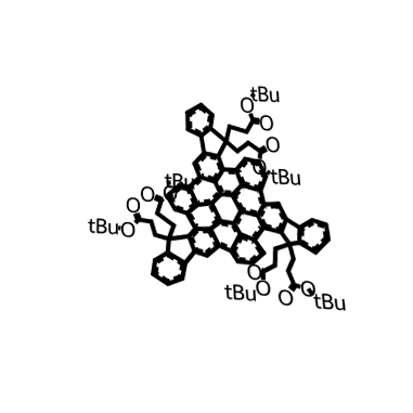 CC(C)(C)OC(=O)CCC1(CCC(=O)OC(C)(C)C)c2ccccc2-c2cc3c4cccc5c6c7c(cc8c9cccc%10c%11c%12c(cc%13c%14cccc%15c(c21)c3c1c(c45)c(c86)c(c9%10)c(c%13%11)c1c%14%15)-c1ccccc1C%12(CCC(=O)OC(C)(C)C)CCC(=O)OC(C)(C)C)-c1ccccc1C7(CCC(=O)OC(C)(C)C)CCC(=O)OC(C)(C)C